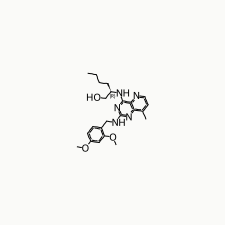 CCCC[C@H](CO)Nc1nc(NCc2ccc(OC)cc2OC)nc2c(C)ccnc12